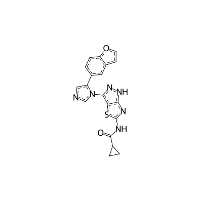 O=C(Nc1nc2[nH]nc(-n3cncc3-c3ccc4occc4c3)c2s1)C1CC1